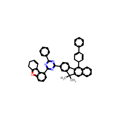 CC1(C)c2cc(-c3nc(-c4ccccc4)nc(-c4cccc5oc6c(c45)C=CCC6)n3)ccc2-c2c1cc1ccccc1c2C1C=CC(c2ccccc2)=CC1